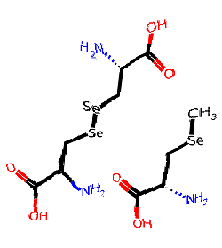 C[Se]C[C@H](N)C(=O)O.NC(C[Se][Se]C[C@H](N)C(=O)O)C(=O)O